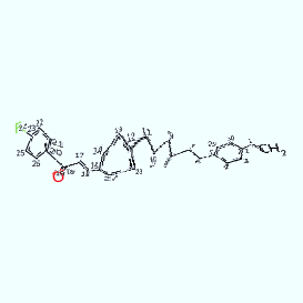 C=Cc1ccc(CCCCCCc2ccc(C=CC(=O)c3ccc(F)cc3)cc2)cc1